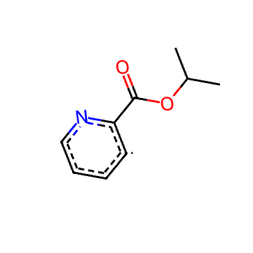 CC(C)OC(=O)c1[c]cccn1